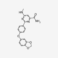 CNc1cc(C(N)=O)nc(-c2ccc(Oc3ccc4c(c3)OCO4)cc2)n1